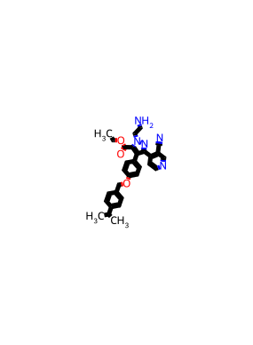 CCOC(=O)c1c(-c2ccc(OCc3ccc(C(C)C)cc3)cc2)c(-c2ccncc2C#N)nn1CCN